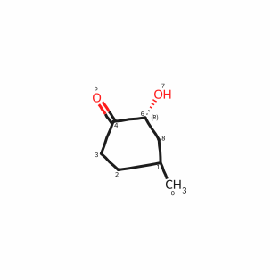 CC1CCC(=O)[C@H](O)C1